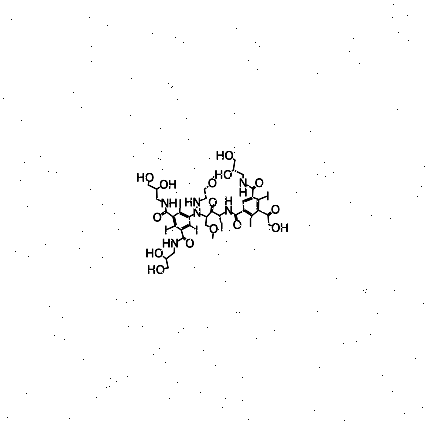 COCCNN(c1c(I)c(C(=O)NCC(O)CO)c(I)c(C(=O)NCC(O)CO)c1I)C(COC)C(=O)C(I)NC(=O)c1cc(C(=O)NCC(O)CO)c(I)c(C(=O)CO)c1I